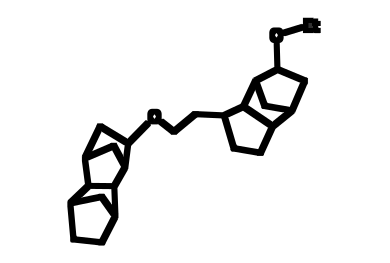 CCOC1CC2CC1C1C(CCOC3CC4CC3C3C5CCC(C5)C43)CCC21